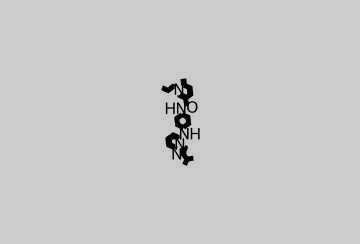 C=C1C=CC(C(=O)NC2CCC(Nc3cccc4nc(C(C)C)cn34)CC2)=CN1CCC